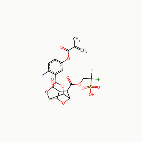 C=C(C)C(=O)Oc1ccc(I)c(C(=O)OC2C3OC(=O)C4C3OC2C4C(=O)OCC(F)(F)S(=O)(=O)O)c1